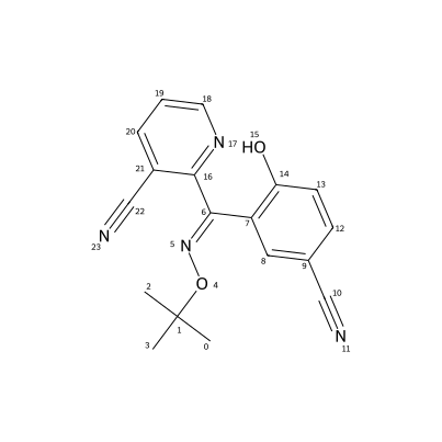 CC(C)(C)ON=C(c1cc(C#N)ccc1O)c1ncccc1C#N